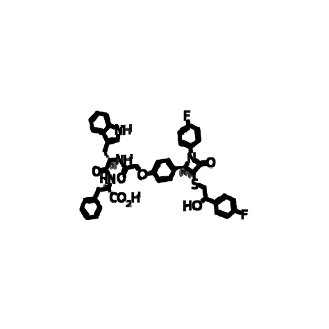 O=C(COc1ccc([C@@H]2[C@@H](SCC(O)c3ccc(F)cc3)C(=O)N2c2ccc(F)cc2)cc1)N[C@@H](Cc1c[nH]c2ccccc12)C(=O)N[C@H](Cc1ccccc1)C(=O)O